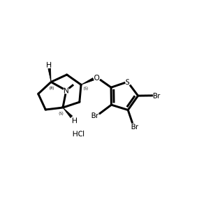 CN1[C@@H]2CC[C@H]1C[C@H](Oc1sc(Br)c(Br)c1Br)C2.Cl